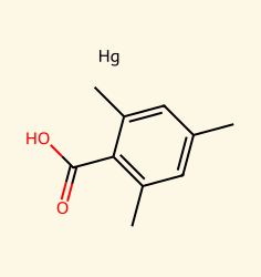 Cc1cc(C)c(C(=O)O)c(C)c1.[Hg]